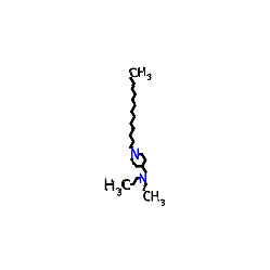 CCCCCCCCCCCCCCN1CCC(CN(CCC)CCC)CC1